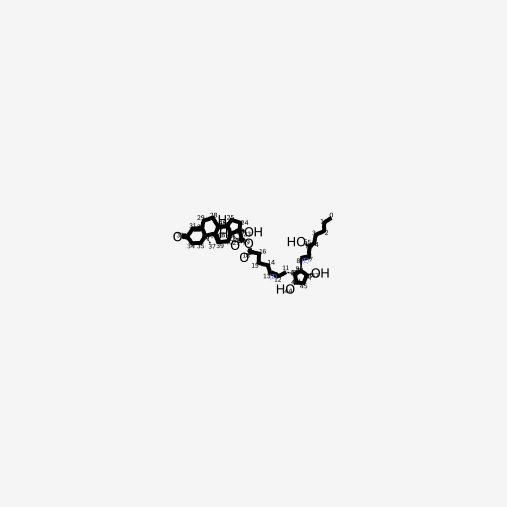 CCCCC[C@H](O)/C=C/[C@@H]1[C@@H](C/C=C\CCCC(=O)OC(=O)[C@@]2(O)CC[C@H]3[C@@H]4CCC5=CC(=O)CC[C@]5(C)C4=CC[C@@]32C)[C@@H](O)C[C@H]1O